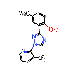 COc1ccc(O)c(-c2ncn(-c3ncccc3C(F)(F)F)n2)c1